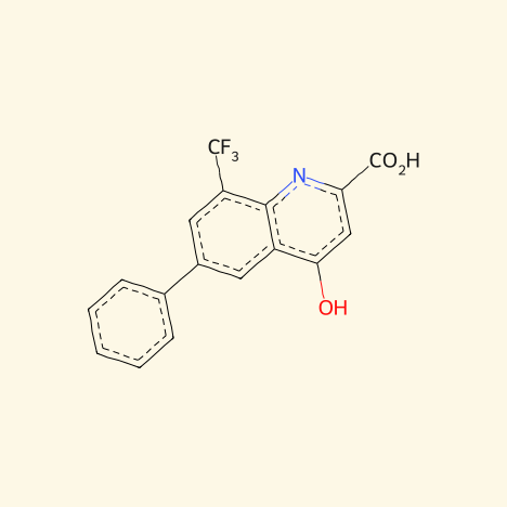 O=C(O)c1cc(O)c2cc(-c3ccccc3)cc(C(F)(F)F)c2n1